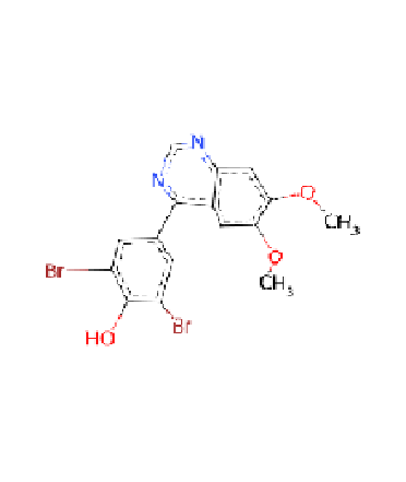 COc1cc2ncnc(-c3cc(Br)c(O)c(Br)c3)c2cc1OC